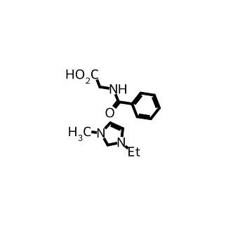 CCN1C=CN(C)C1.O=C(O)CNC(=O)c1ccccc1